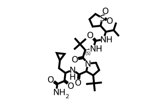 CC(C)C(NC(=O)N[C@H](C(=O)N1CCC(C(C)(C)C)C1C(=O)NC(CC1CC1)C(=O)C(N)=O)C(C)(C)C)C1CCCS1(=O)=O